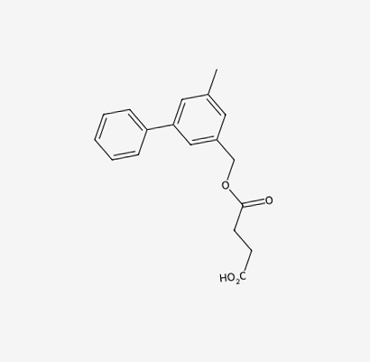 Cc1cc(COC(=O)CCC(=O)O)cc(-c2ccccc2)c1